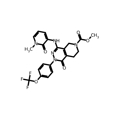 COC(=O)N1CCc2c(c(Nc3cccn(C)c3=O)nn(-c3ccc(OC(F)(F)F)cc3)c2=O)C1